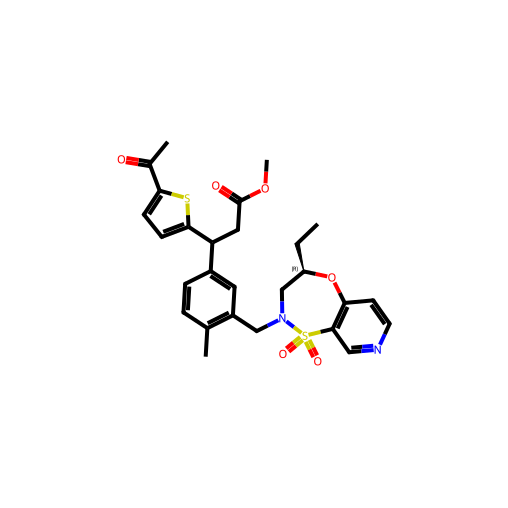 CC[C@@H]1CN(Cc2cc(C(CC(=O)OC)c3ccc(C(C)=O)s3)ccc2C)S(=O)(=O)c2cnccc2O1